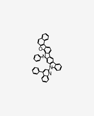 c1ccc(-c2cc(-n3c4ccccc4c4cc5c6ccc7c(oc8ccc9ccccc9c87)c6n(-c6ccccc6)c5cc43)nc3ccccc23)cc1